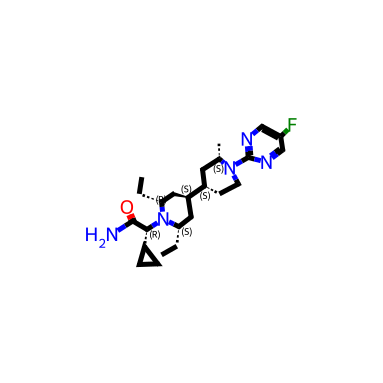 CC[C@@H]1C[C@@H]([C@H]2CCN(c3ncc(F)cn3)[C@@H](C)C2)C[C@H](CC)N1[C@@H](C(N)=O)C1CC1